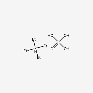 CC[PH](CC)(CC)CC.O=P(O)(O)O